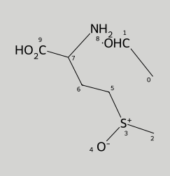 C[C]=O.C[S+]([O-])CCC(N)C(=O)O